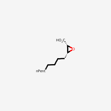 CCCCCCCCC[C@H]1O[C@H]1C(=O)O